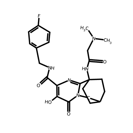 CN(C)CC(=O)NC12CCC(CC1)Cn1c2nc(C(=O)NCc2ccc(F)cc2)c(O)c1=O